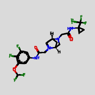 O=C(CN1C[C@@H]2C[C@H]1CN2CC(=O)NC1(C(F)(F)F)CC1)Nc1cc(F)c(F)c(OC(F)F)c1